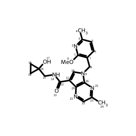 COc1nc(C)ccc1Cn1cc(C(=O)NCC2(O)CC2)c2ncc(C)nc21